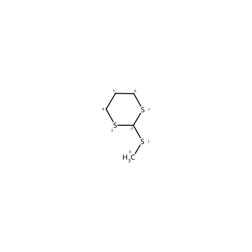 CSC1SCCCS1